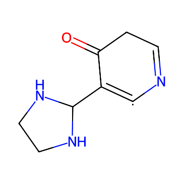 O=C1CC=N[C]=C1C1NCCN1